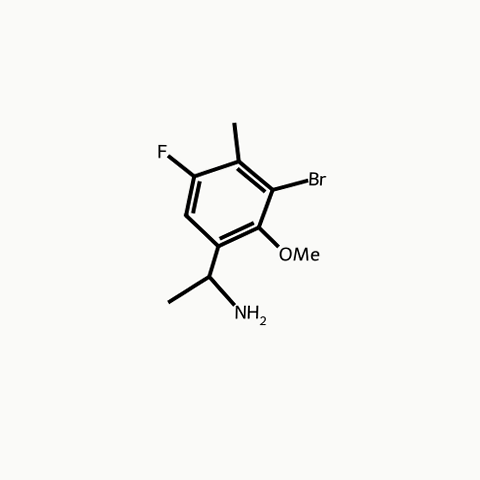 COc1c(C(C)N)cc(F)c(C)c1Br